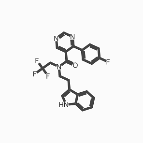 O=C(c1cncnc1-c1ccc(F)cc1)N(CCc1c[nH]c2ccccc12)CC(F)(F)F